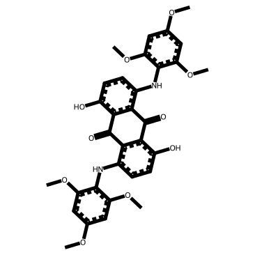 COc1cc(OC)c(Nc2ccc(O)c3c2C(=O)c2c(O)ccc(Nc4c(OC)cc(OC)cc4OC)c2C3=O)c(OC)c1